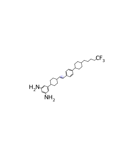 Nc1cc(N)cc(C2CCC(/C=C/c3ccc(C4CCC(CCCCC(F)(F)F)CC4)cc3)CC2)c1